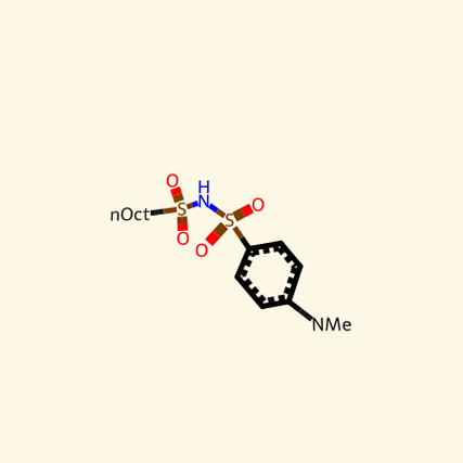 CCCCCCCCS(=O)(=O)NS(=O)(=O)c1ccc(NC)cc1